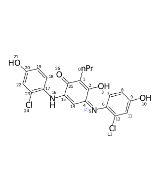 CCCC1=C(O)/C(=N\c2ccc(O)cc2Cl)C=C(Nc2ccc(O)cc2Cl)C1=O